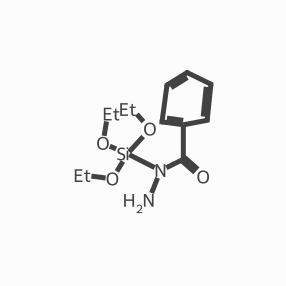 CCO[Si](OCC)(OCC)N(N)C(=O)c1ccccc1